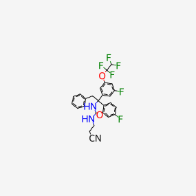 N#CCCNC(=O)NC(Cc1ccccc1)(c1ccc(F)cc1)c1cc(F)cc(OC(F)(F)C(F)F)c1